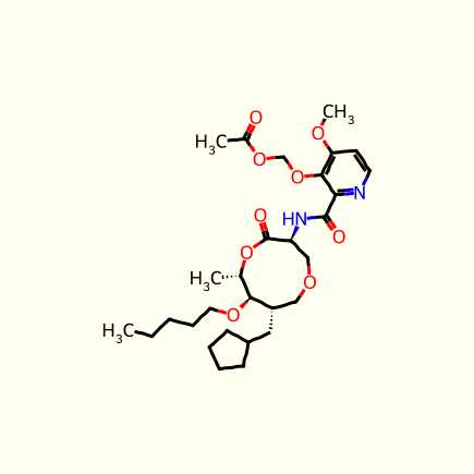 CCCCCO[C@@H]1[C@@H](CC2CCCC2)COC[C@H](NC(=O)c2nccc(OC)c2OCOC(C)=O)C(=O)O[C@H]1C